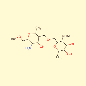 CCC(C)OCC1OC(C)C(COCC2OC(C)C(O)C(O)C2NC(C)=O)C(O)C1N